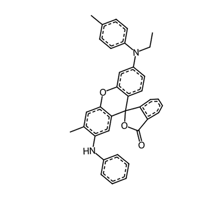 CCN(c1ccc(C)cc1)c1ccc2c(c1)Oc1cc(C)c(Nc3ccccc3)cc1C21OC(=O)c2ccccc21